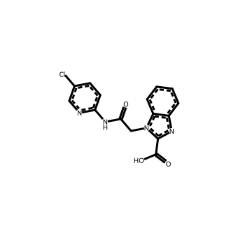 O=C(Cn1c(C(=O)O)nc2ccccc21)Nc1ccc(Cl)cn1